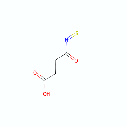 O=C(O)CCC(=O)N=S